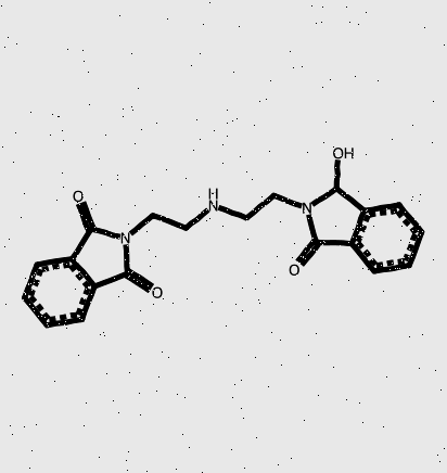 O=C1c2ccccc2C(=O)N1CCNCCN1C(=O)c2ccccc2C1O